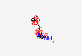 COc1cccc(OC)c1C(=O)OCCCC(C)(C)COS(=O)(=O)ON1C(=O)N2C[C@H]1CC[C@H]2C(N)=O